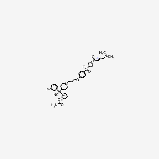 CN(C)C/C=C/C(=O)N1CC(S(=O)(=O)c2ccc(OCCCN3CCC([C@@](C#N)(c4cccc(F)c4)[C@H]4CCC[C@@H]4OC(N)=O)CC3)cc2)C1